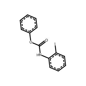 O=C(Nc1ccccc1I)Oc1ccccc1